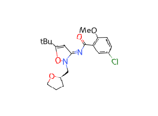 COc1ccc(Cl)cc1C(=O)/N=c1\cc(C(C)(C)C)on1C[C@H]1CCCO1